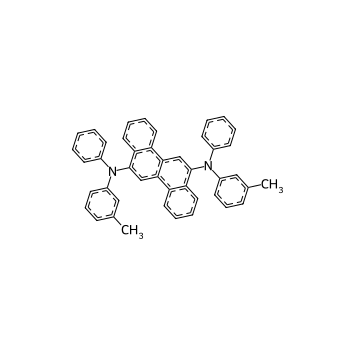 Cc1cccc(N(c2ccccc2)c2cc3c4ccccc4c(N(c4ccccc4)c4cccc(C)c4)cc3c3ccccc23)c1